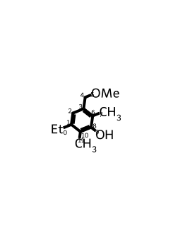 CCc1cc(COC)c(C)c(O)c1C